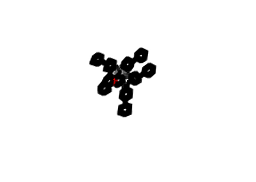 c1ccc(-c2ccc(N3c4ccc(-c5ccccc5)cc4B4c5cc(-c6ccccc6)ccc5N(c5ccc(-c6ccccc6)cc5-c5ccc6ccccc6c5)c5cccc3c54)cc2)cc1